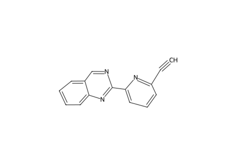 C#Cc1cccc(-c2ncc3ccccc3n2)n1